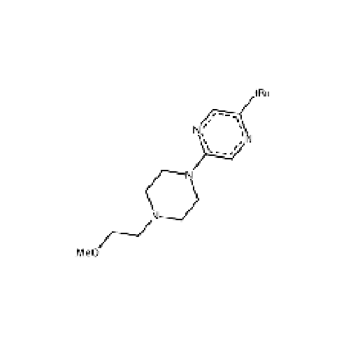 COCCN1CCN(c2cnc(C(C)(C)C)cn2)CC1